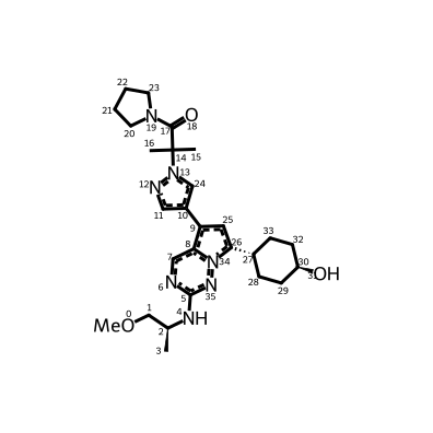 COC[C@H](C)Nc1ncc2c(-c3cnn(C(C)(C)C(=O)N4CCCC4)c3)cc([C@H]3CC[C@H](O)CC3)n2n1